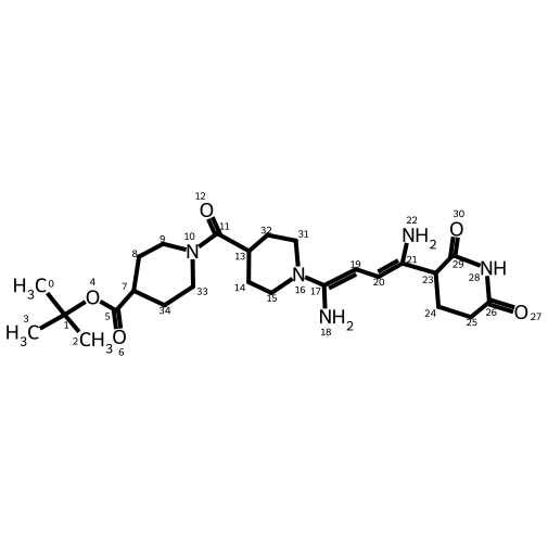 CC(C)(C)OC(=O)C1CCN(C(=O)C2CCN(/C(N)=C/C=C(\N)C3CCC(=O)NC3=O)CC2)CC1